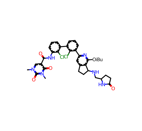 CC(C)COc1nc(-c2cccc(-c3cccc(NC(=O)c4cn(C)c(=O)n(C)c4=O)c3Cl)c2Cl)cc2c1C(NCC1CCC(=O)N1)CC2